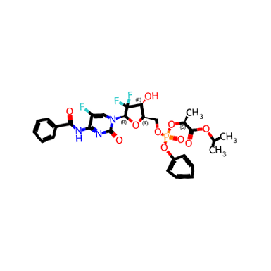 CC(C)OC(=O)[C@H](C)OP(=O)(OC[C@H]1O[C@@H](n2cc(F)c(NC(=O)c3ccccc3)nc2=O)C(F)(F)[C@@H]1O)Oc1ccccc1